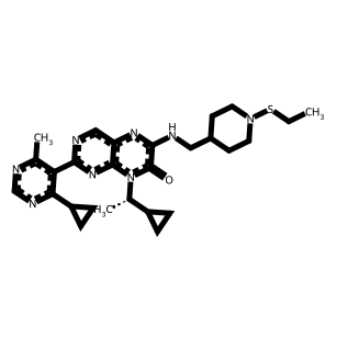 CCSN1CCC(CNc2nc3cnc(-c4c(C)ncnc4C4CC4)nc3n([C@@H](C)C3CC3)c2=O)CC1